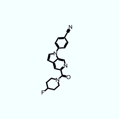 N#Cc1ccc(-n2ccc3cc(C(=O)N4CCC(F)CC4)ncc32)cc1